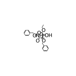 CCOC(=O)[C@H](O)[C@@H](OCc1ccccc1)C(=O)NOCc1ccccc1